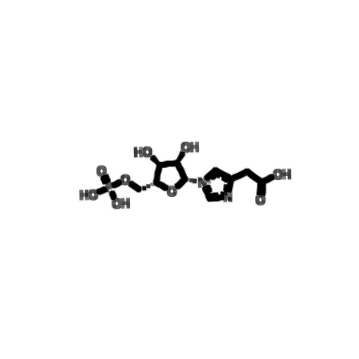 O=C(O)Cc1cn([C@@H]2O[C@H](COP(=O)(O)O)[C@@H](O)[C@H]2O)cn1